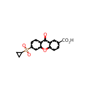 O=C(O)c1ccc2oc3cc(S(=O)(=O)C4CC4)ccc3c(=O)c2c1